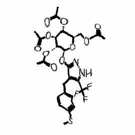 CSc1ccc(Cc2c(O[C@@H]3O[C@H](COC(C)=O)[C@@H](OC(C)=O)[C@H](OC(C)=O)[C@H]3OC(C)=O)n[nH]c2C(F)(F)F)cc1